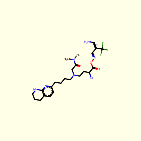 CN(C)C(=O)CN(CCCCc1ccc2c(n1)NCCC2)CCC(N)C(=O)O/N=C/C(=C\N)C(F)(F)F